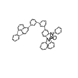 O=P1(c2ccccc2)N(c2ccccc2)c2ccc(-c3cccc(-c4cccc(-c5ccc6c7c(cccc57)-c5ccccc5-6)c4)c3)cc2N1c1ccccc1